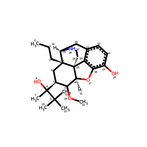 CCC[C@]12C[C@H](C(C)(O)C(C)(C)C)C(OC)[C@@H]3Oc4c(O)ccc5c4[C@@]31CCN[C@@H]2C5